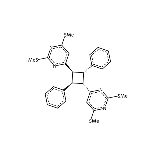 CSc1cc([C@H]2[C@H](c3ccccc3)[C@H](c3cc(SC)nc(SC)n3)[C@H]2c2ccccc2)nc(SC)n1